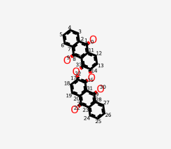 O=c1c2ccccc2c(=O)c2c1ccc1oc3c(ccc4c(=O)c5ccccc5c(=O)c43)oc12